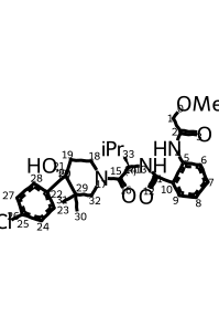 COCC(=O)Nc1ccccc1C(=O)N[C@@H](C(=O)N1CC[C@](O)(c2ccc(Cl)cc2)C(C)(C)C1)C(C)C